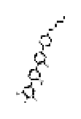 C/C=C/CCC1CCC(c2ccc(-c3ccc(-c4cc(F)c(C)c(F)c4)c(F)c3)c(F)c2)CC1